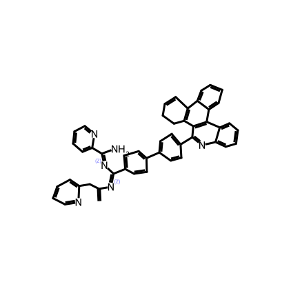 C=C(Cc1ccccn1)/N=C(\N=C(/N)c1ccccn1)c1ccc(-c2ccc(-c3nc4ccccc4c4c3c3c(c5ccccc54)C=CCC3)cc2)cc1